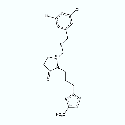 O=C(O)c1csc(SCCN2C(=O)CC[C@@H]2COCc2cc(Cl)cc(Cl)c2)n1